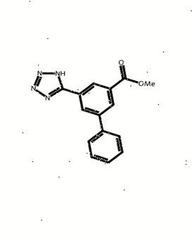 COC(=O)c1cc(-c2ccccc2)cc(-c2nnn[nH]2)c1